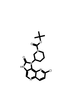 CC(C)(C)OC(=O)N1CCCC(n2c(=O)[nH]c3cnc4ccc(Cl)nc4c32)C1